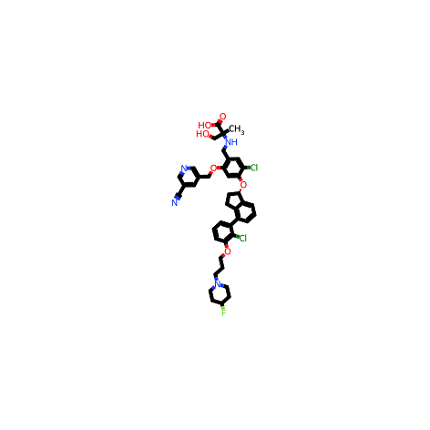 CC(CO)(NCc1cc(Cl)c(O[C@H]2CCc3c(-c4cccc(OCCCN5CCC(F)CC5)c4Cl)cccc32)cc1OCc1cncc(C#N)c1)C(=O)O